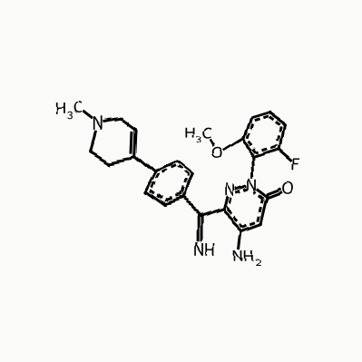 COc1cccc(F)c1-n1nc(C(=N)c2ccc(C3=CCN(C)CC3)cc2)c(N)cc1=O